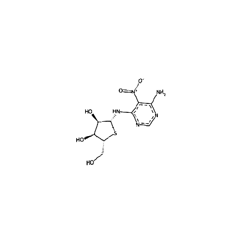 Nc1ncnc(N[C@@H]2S[C@H](CO)[C@@H](O)[C@H]2O)c1[N+](=O)[O-]